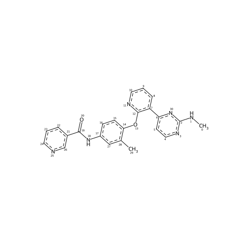 CNc1nccc(-c2cccnc2Oc2ccc(NC(=O)c3cccnc3)cc2C)n1